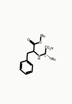 CCCC[C@H](NC(Cc1ccccc1)C(=O)OC(C)(C)C)C(=O)O